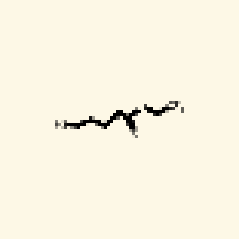 O=C(CCCCS)OCC(F)(F)F